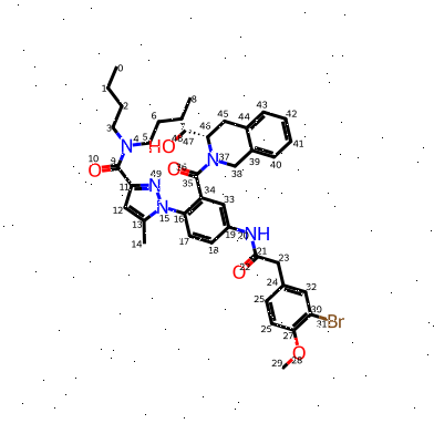 CCCCN(CCCC)C(=O)c1cc(C)n(-c2ccc(NC(=O)Cc3ccc(OC)c(Br)c3)cc2C(=O)N2Cc3ccccc3C[C@H]2CO)n1